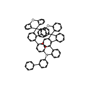 c1ccc(-c2cccc(N(c3ccc(-c4cccc5c4-c4ccccc4C54c5ccccc5Oc5ccccc54)cc3)c3ccccc3-c3cccc4c3-c3ccccc3C43c4ccccc4Oc4ccccc43)c2)cc1